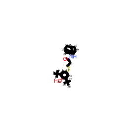 CC(C)(C)c1cc(SCCC(=O)NC23CC4CC(CC(C4)C2)C3)cc(C(C)(C)C)c1O